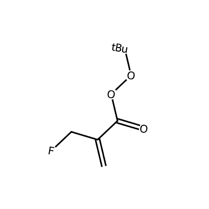 C=C(CF)C(=O)OOC(C)(C)C